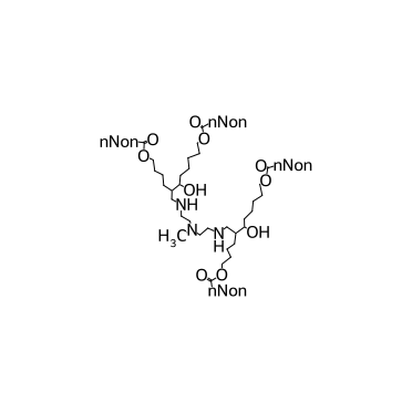 CCCCCCCCCC(=O)OCCCCCC(O)C(CCCCOC(=O)CCCCCCCCC)CNCCN(C)CCNCC(CCCCOC(=O)CCCCCCCCC)C(O)CCCCCOC(=O)CCCCCCCCC